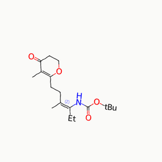 CC/C(NC(=O)OC(C)(C)C)=C(\C)CCC1=C(C)C(=O)CCO1